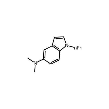 CCCn1ccc2cc(N(C)C)ccc21